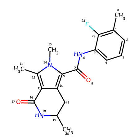 Cc1cccc(NC(=O)c2c3c(c(C)n2C)C(=O)NC(C)C3)c1F